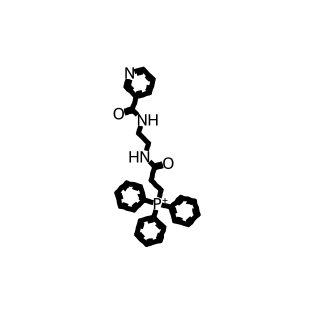 O=C(CC[P+](c1ccccc1)(c1ccccc1)c1ccccc1)NCCNC(=O)c1cccnc1